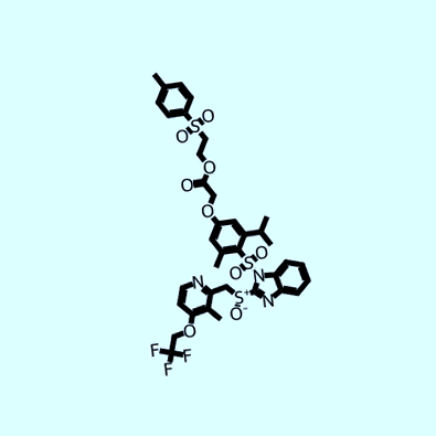 Cc1ccc(S(=O)(=O)CCOC(=O)COc2cc(C)c(S(=O)(=O)n3c([S+]([O-])Cc4nccc(OCC(F)(F)F)c4C)nc4ccccc43)c(C(C)C)c2)cc1